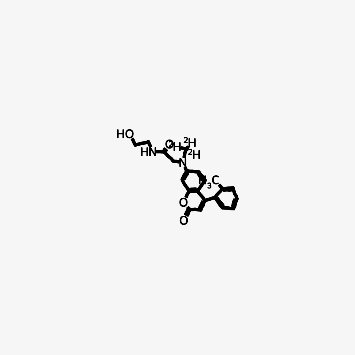 [2H]C([2H])([2H])N(CC(=O)NCCO)c1ccc2c(-c3ccccc3C)cc(=O)oc2c1